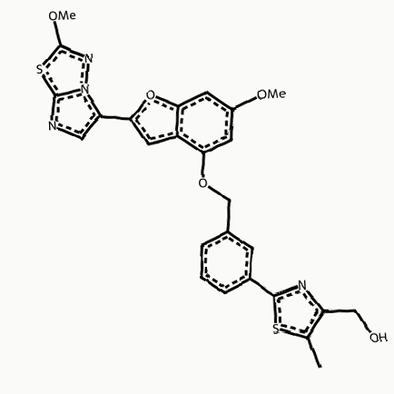 COc1cc(OCc2cccc(-c3nc(CO)c(C)s3)c2)c2cc(-c3cnc4sc(OC)nn34)oc2c1